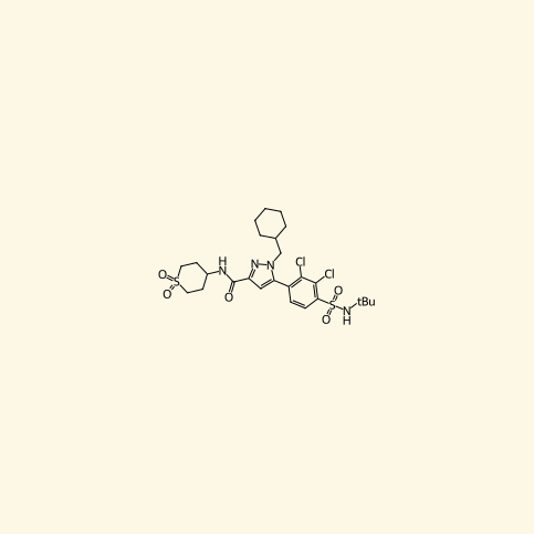 CC(C)(C)NS(=O)(=O)c1ccc(-c2cc(C(=O)NC3CCS(=O)(=O)CC3)nn2CC2CCCCC2)c(Cl)c1Cl